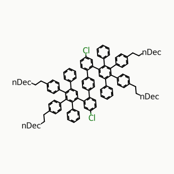 CCCCCCCCCCCCc1ccc(-c2c(-c3ccccc3)cc(-c3cc(Cl)ccc3-c3ccc(-c4ccc(Cl)cc4-c4cc(-c5ccccc5)c(-c5ccc(CCCCCCCCCCCC)cc5)c(-c5ccc(CCCCCCCCCCCC)cc5)c4-c4ccccc4)cc3)c(-c3ccccc3)c2-c2ccc(CCCCCCCCCCCC)cc2)cc1